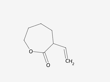 C=CC1CCCCOC1=O